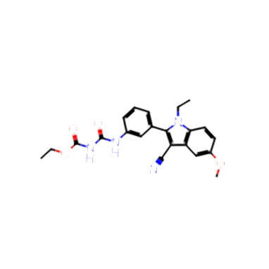 CCOC(=O)NC(=O)Nc1cccc(-c2c(C#N)c3cc(OC)ccc3n2CC)c1